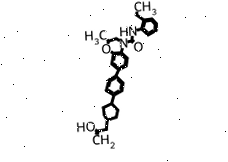 C=C(O)CC1CCC(c2ccc(-c3ccc4c(c3)OC(C)CN4C(=O)Nc3ccccc3CC)cc2)CC1